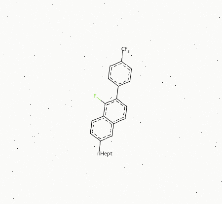 CCCCCCCc1ccc2c(F)c(-c3ccc(C(F)(F)F)cc3)ccc2c1